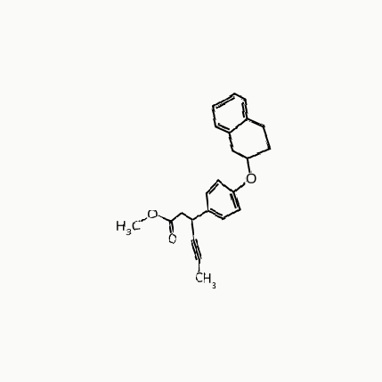 CC#CC(CC(=O)OC)c1ccc(OC2CCc3ccccc3C2)cc1